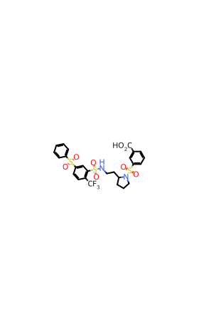 O=C(O)c1cccc(S(=O)(=O)N2CCCC2CCNS(=O)(=O)c2cc(S(=O)(=O)c3ccccc3)ccc2C(F)(F)F)c1